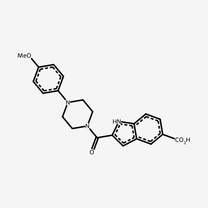 COc1ccc(N2CCN(C(=O)c3cc4cc(C(=O)O)ccc4[nH]3)CC2)cc1